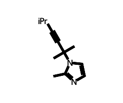 Cc1nccn1C(C)(C)C#CC(C)C